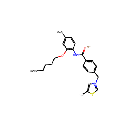 CCCCCCCCCCCCCCOc1cc(OC)ccc1NC(=O)c1ccc(C[n+]2csc(C)c2)cc1.[Br-]